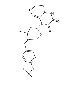 CC1CC(n2c(=O)c(=O)[nH]c3ccccc32)CCN1Cc1ccc(OC(F)(F)F)cc1